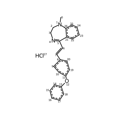 CN1CCN=C(C=Cc2ccc(Oc3ccccc3)cc2)c2ccccc21.Cl